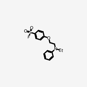 CCN(CCOc1ccc(S(=O)(=O)F)cc1)c1ccccc1